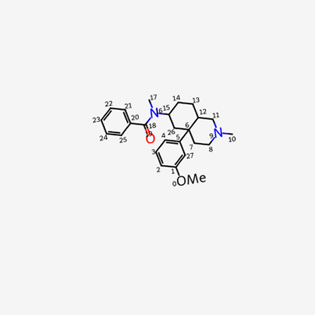 COc1cccc(C23CCN(C)CC2CCC(N(C)C(=O)c2ccccc2)C3)c1